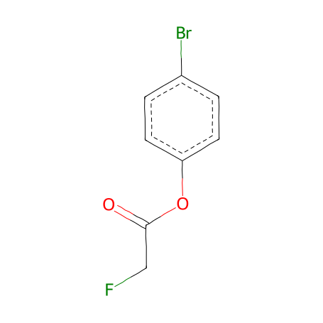 O=C(CF)Oc1ccc(Br)cc1